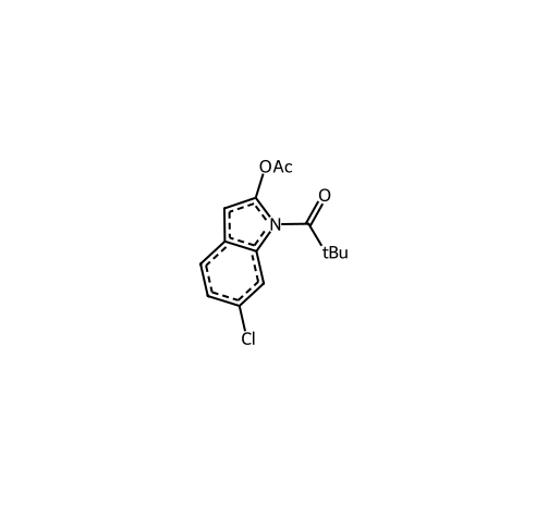 CC(=O)Oc1cc2ccc(Cl)cc2n1C(=O)C(C)(C)C